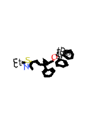 CCc1nc(C)c(C=CC2(c3ccccc3)CC2CO[Si](c2ccccc2)(c2ccccc2)C(C)(C)C)s1